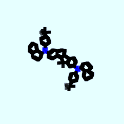 CC1(C)c2cc(N(c3ccc([Si](C)(C)C)cc3)c3cccc4ccccc34)ccc2-c2ccc3cc(N(c4ccc([Si](C)(C)C)cc4)c4cccc5ccccc45)ccc3c21